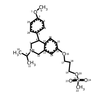 COc1ccc(C2CN(C(C)C)Cc3cc(OCCCOS(C)(=O)=O)ccc32)cc1